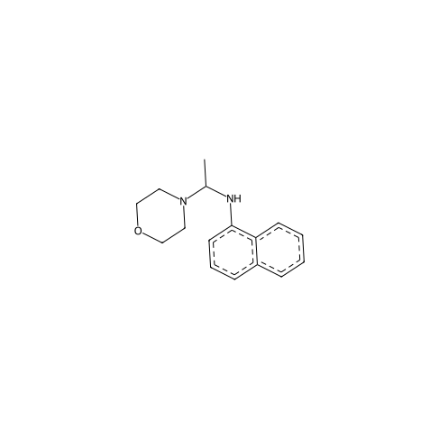 CC(Nc1cccc2ccccc12)N1CCOCC1